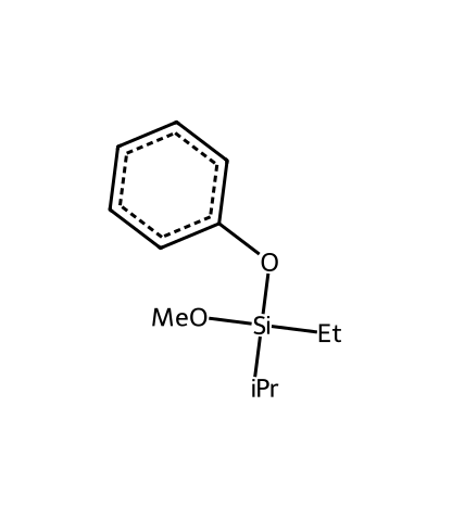 CC[Si](OC)(Oc1ccccc1)C(C)C